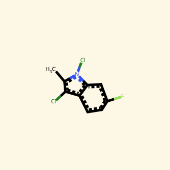 Cc1c(Cl)c2ccc(F)cc2n1Cl